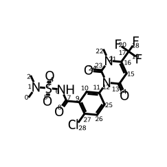 CN(C)S(=O)(=O)NC(=O)c1cc(-n2c(=O)cc(C(F)(F)F)n(C)c2=O)ccc1Cl